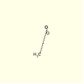 CCCCCCCCC=CCCCCCCCC(=O)C=Cc1ccccc1